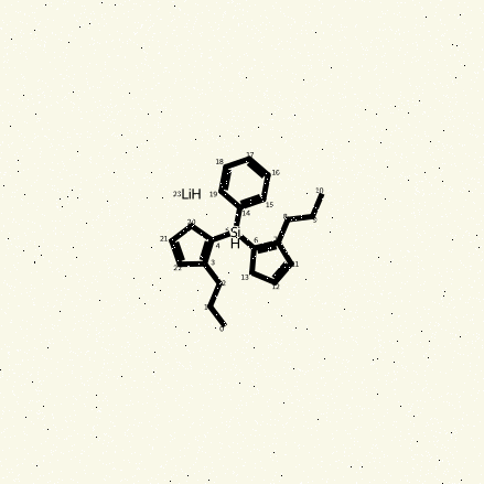 CCCC1=C([SiH](C2=C(CCC)C=CC2)c2ccccc2)CC=C1.[LiH]